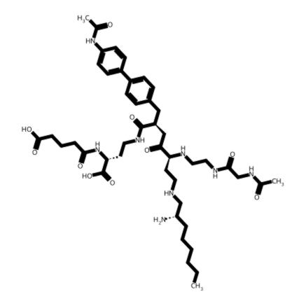 CCCCCC[C@H](N)CNCC[C@H](NCCNC(=O)CNC(C)=O)C(=O)C[C@H](Cc1ccc(-c2ccc(NC(C)=O)cc2)cc1)C(=O)NCC[C@@H](NC(=O)CCCC(=O)O)C(=O)O